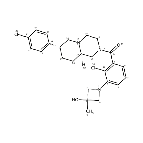 CC1(O)CN(c2cccc(C(=O)N3CCN4C[C@@H](c5ccc(Cl)cc5)CC[C@@H]4C3)c2Cl)C1